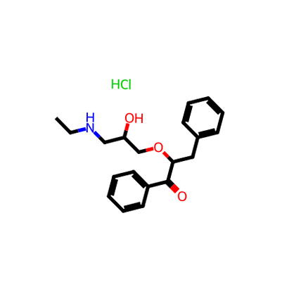 CCNCC(O)COC(Cc1ccccc1)C(=O)c1ccccc1.Cl